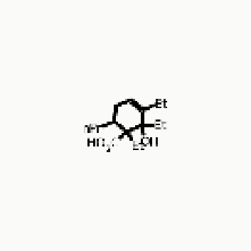 CCCC1CC=C(CC)C(O)(CC)C1(CC)C(=O)O